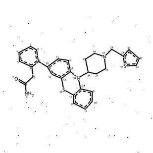 NC(=O)Cc1ccccc1-c1ccc2c(c1)Sc1ccccc1N2C1CCN(Cc2cccs2)CC1